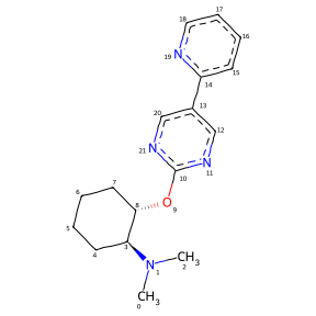 CN(C)[C@H]1CCCC[C@@H]1Oc1ncc(-c2ccccn2)cn1